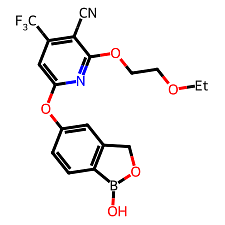 CCOCCOc1nc(Oc2ccc3c(c2)COB3O)cc(C(F)(F)F)c1C#N